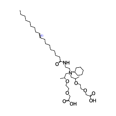 CCCCCCCC/C=C/CCCCCCCC(=O)NCC[N+](CC(C)OCCOCC(=O)O)(CC(C)OCCOCC(=O)O)C1CCCCC1